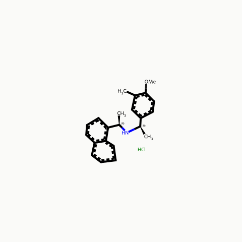 COc1ccc([C@@H](C)N[C@H](C)c2cccc3ccccc23)cc1C.Cl